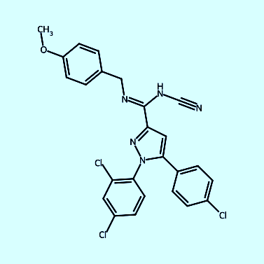 COc1ccc(CN=C(NC#N)c2cc(-c3ccc(Cl)cc3)n(-c3ccc(Cl)cc3Cl)n2)cc1